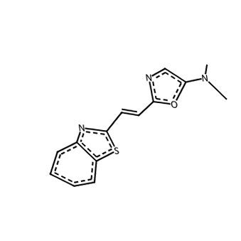 CN(C)c1cnc(/C=C/c2nc3ccccc3s2)o1